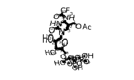 CC(=O)OCC1=CN(C2OC(COP(=O)(O)OP(=O)(O)OP(=O)(O)O)C(O)C2O)C(=O)NC1NC(=O)C(F)(F)F